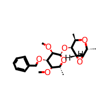 CO[C@H]1[C@H](O[C@H]2[C@H]3O[C@H]3[C@@H](C)O[C@@H]2C)O[C@H](C)[C@@H](OC)[C@@H]1OCc1ccccc1